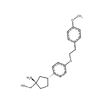 COc1ccc(CCOc2ccc([C@@H]3CC[C@](N)(CO)C3)cc2)cc1